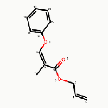 C=CCOC(=O)C(C)=COc1ccccc1